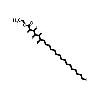 CCOC(=O)C(I)C(I)C(I)C(I)C(I)CCCCCCCCCCCCCCCCI